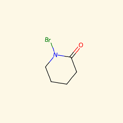 O=C1CCCCN1Br